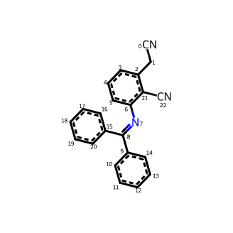 N#CCc1cccc(N=C(c2ccccc2)c2ccccc2)c1C#N